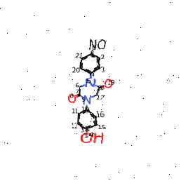 O=Nc1ccc(N2CC(=O)N(c3ccc(O)cc3)CC2=O)cc1